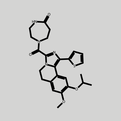 COc1cc2c(cc1OC(C)C)-c1c(-c3cccs3)nc(C(=O)N3CCNC(=O)CC3)n1CC2